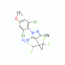 N#Cc1nn(-c2c(Cl)cc(OC(F)(F)F)cc2Cl)c(N)c1C1(C(F)F)CC1(F)F